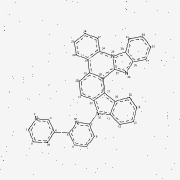 c1cncc(-c2cccc(-n3c4ccccc4c4c5c(ccc43)c3ccccc3n3c4ccccc4nc53)n2)c1